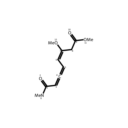 CNC(=O)C=C=C/C=C(\CC(=O)OC)OC